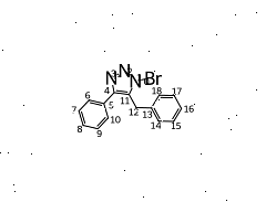 Brn1nnc(-c2ccccc2)c1Cc1ccccc1